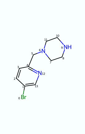 Brc1ccc(CN2CCNCC2)nc1